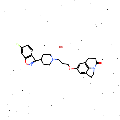 Br.O=C1CCc2cc(OCCCN3CCC(c4noc5cc(F)ccc45)CC3)cc3c2N1CC3